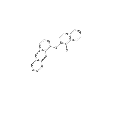 [O]c1c(Oc2cccc3cc4ccccc4cc23)ccc2ccccc12